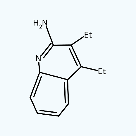 CCc1c(N)nc2ccccc2c1CC